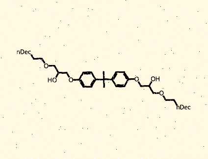 CCCCCCCCCCCCOCC(O)COc1ccc(C(C)(C)c2ccc(OCC(O)COCCCCCCCCCCCC)cc2)cc1